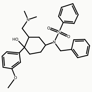 COc1cccc(C2(O)CCC(N(Cc3ccccc3)S(=O)(=O)c3ccccc3)CC2CN(C)C)c1